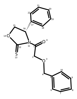 O=C(COCc1ccccc1)N1C(=S)OC[C@@H]1c1ccccc1